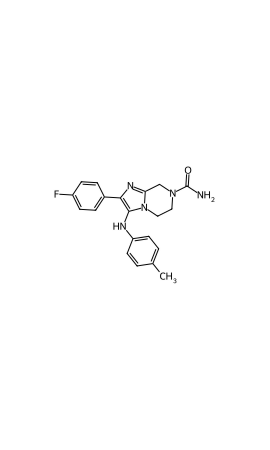 Cc1ccc(Nc2c(-c3ccc(F)cc3)nc3n2CCN(C(N)=O)C3)cc1